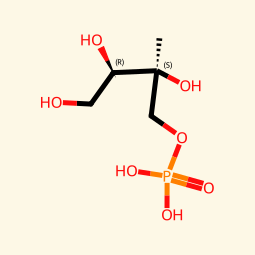 C[C@](O)(COP(=O)(O)O)[C@H](O)CO